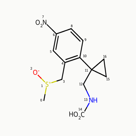 C[S+]([O-])Cc1cc([N+](=O)[O-])ccc1C1(CNC(=O)O)CC1